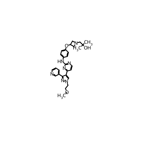 COCCn1cc(-c2ccnc(Nc3ccc(OC4CN(CC(C)(C)O)C4)cc3)n2)c(-c2cccnc2)n1